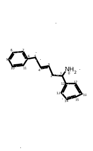 NC(CC=CCc1ccccc1)c1ccccc1